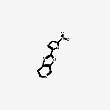 O=[N+]([O-])C1CC=C(c2nc3ccncc3o2)S1